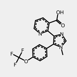 Cn1cnc(-c2ncccc2C(=O)O)c1-c1ccc(OC(F)(F)F)cc1